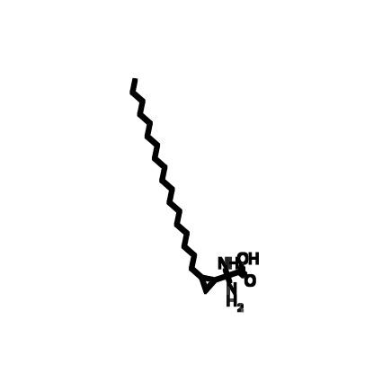 CCCCCCCCCCCCCCCCCCC1CC1C(N)(N)C(=O)O